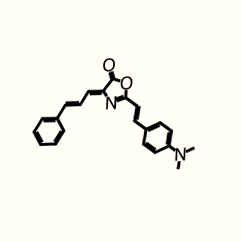 CN(C)c1ccc(/C=C/C2=NC(=C\C=C\c3ccccc3)/C(=O)O2)cc1